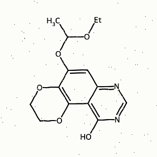 CCOC(C)Oc1cc2ncnc(O)c2c2c1OCCO2